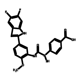 COc1ccc(-c2cc3cc(F)c(F)cc3[nH]2)cc1NC(=O)N(S)c1ccc(C(=O)O)cc1